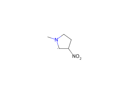 CN1[CH]C([N+](=O)[O-])CC1